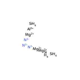 [Al+3].[Mg+2].[Mg+2].[Mg+2].[N-3].[N-3].[N-3].[SiH4].[SiH4].[SiH4]